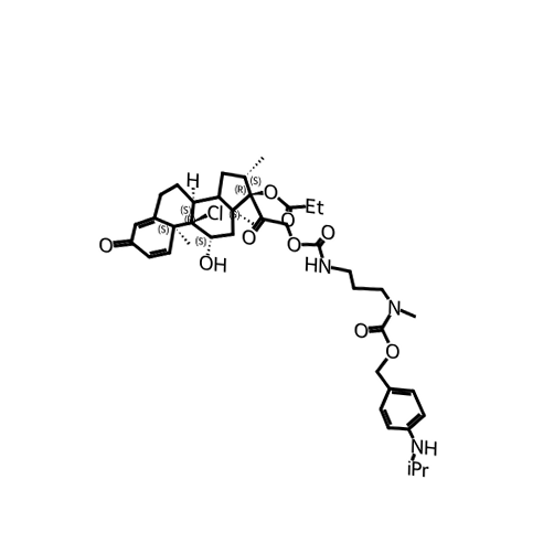 CCC(=O)O[C@]1(C(=O)COC(=O)NCCCN(C)C(=O)OCc2ccc(NC(C)C)cc2)[C@@H](C)CC2[C@@H]3CCC4=CC(=O)C=C[C@]4(C)[C@@]3(Cl)[C@@H](O)C[C@@]21C